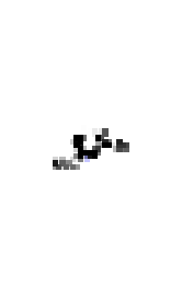 C=C/C(=C\N(C)C(C)(C)C)OC